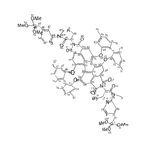 CO[Si](Cc1ccnc(N(C)C(=O)C(CC(C)C)N2C(=O)c3cc(Oc4cc(C)cc(C)c4)c4c5c(Oc6cc(C)cc(C)c6)cc6c7c(cc(Oc8cc(C)cc(C)c8)c(c8c(Oc9cc(C)cc(C)c9)cc(c3c48)C2=O)c75)C(=O)N(C(CC(C)C)C(=O)N(C)c2cc(C[Si](OC)(OC)OC)ccn2)C6=O)c1)(OC)OC